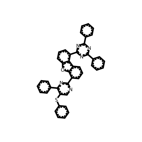 c1ccc(Sc2cnc(-c3cccc4c3oc3cccc(-c5nc(-c6ccccc6)nc(-c6ccccc6)n5)c34)nc2-c2ccccc2)cc1